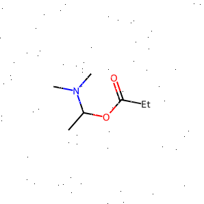 CCC(=O)OC(C)N(C)C